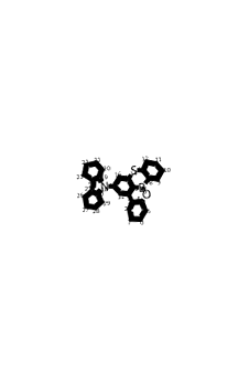 c1ccc2c(c1)OB1c3ccccc3Sc3cc(-n4c5ccccc5c5ccccc54)cc-2c31